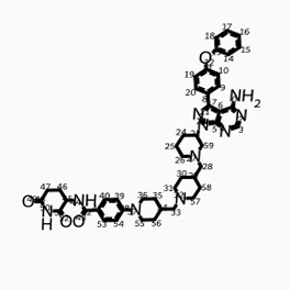 Nc1ncnc2c1c(-c1ccc(Oc3ccccc3)cc1)nn2[C@@H]1CCCN(CC2CCN(CC3CCN(c4ccc(C(=O)NC5CCC(=O)NC5=O)cc4)CC3)CC2)C1